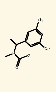 CC(c1cc(C(F)(F)F)cc(C(F)(F)F)c1)N(C)C(=O)Cl